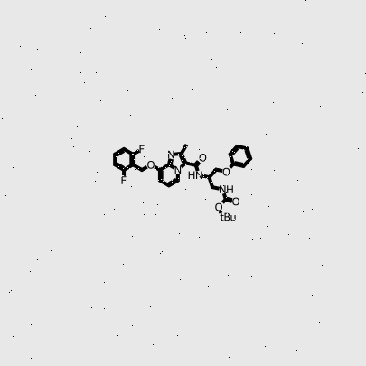 Cc1nc2c(OCc3c(F)cccc3F)cccn2c1C(=O)NC(CNC(=O)OC(C)(C)C)COc1ccccc1